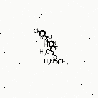 C/N=C(/N)OCC[C@H](C)c1cc(NC(=O)c2ccc(Cl)cn2)cnc1F